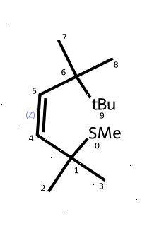 CSC(C)(C)/C=C\C(C)(C)C(C)(C)C